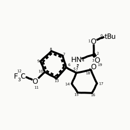 CC(C)(C)OC(=O)N[C@@]1(c2cccc(OC(F)(F)F)c2)CCCCC1=O